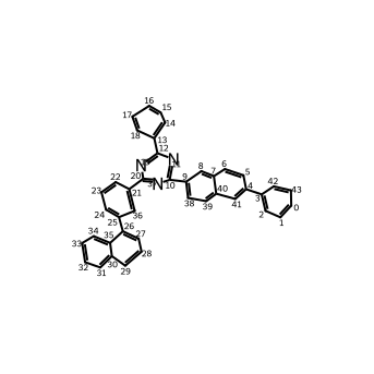 c1ccc(-c2ccc3cc(-c4nc(-c5ccccc5)nc(-c5cccc(-c6cccc7ccccc67)c5)n4)ccc3c2)cc1